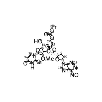 COC1C(OP(=O)(OC[C@@H]2CC[C@H](n3cnc4c(N=O)ncnc43)O2)SCOC(=O)OC(C)C)[C@@H](CO)O[C@H]1n1ccc(=O)[nH]c1=O